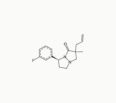 C=CCC1(C)CN2CC[C@@H](c3cccc(F)c3)N2C1=O